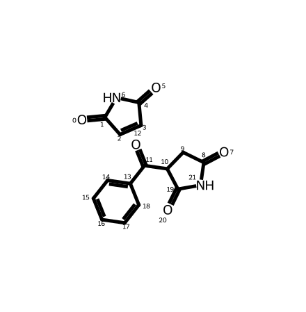 O=C1C=CC(=O)N1.O=C1CC(C(=O)c2ccccc2)C(=O)N1